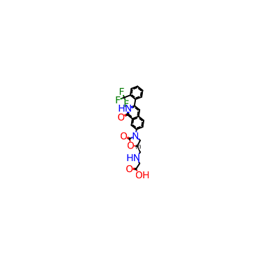 O=C(O)CNC[C@@H]1CN(c2ccc3cc(-c4ccccc4C(F)(F)F)[nH]c(=O)c3c2)C(=O)O1